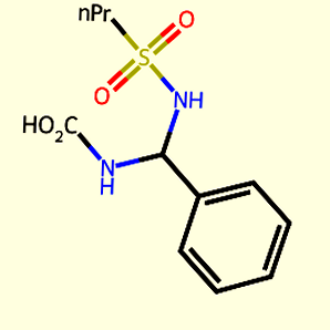 CCCS(=O)(=O)NC(NC(=O)O)c1ccccc1